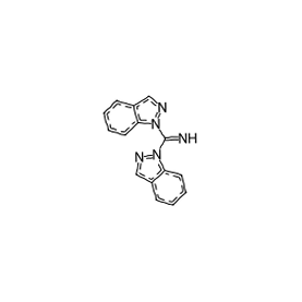 N=C(n1ncc2ccccc21)n1ncc2ccccc21